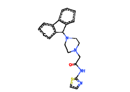 O=C(CN1CCN(C2c3ccccc3-c3ccccc32)CC1)Nc1nccs1